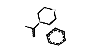 C=C(C)N1CCOCC1.c1ccccc1